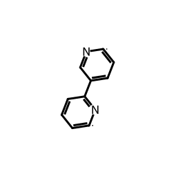 [c]1ccc(-c2ccc[c]n2)cn1